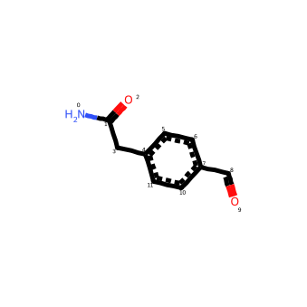 NC(=O)Cc1ccc(C=O)cc1